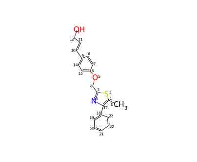 Cc1sc(COc2ccc(C=CCO)cc2)nc1-c1ccccc1